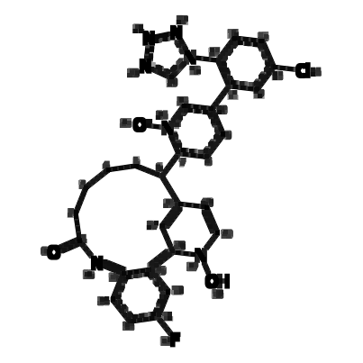 O=C1CCCCC(c2ccc(-c3cc(Cl)ccc3-n3cnnn3)c[n+]2[O-])C2=C/C(=c3/cc(F)cc/c3=N/1)N(O)C=C2